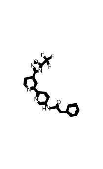 O=C(Cc1ccccc1)Nc1ccc(-c2cc(-c3noc(C(F)(F)F)n3)ccn2)nc1